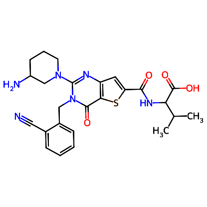 CC(C)C(NC(=O)c1cc2nc(N3CCCC(N)C3)n(Cc3ccccc3C#N)c(=O)c2s1)C(=O)O